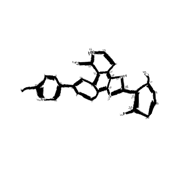 Cc1ccc(-c2ccc3c(c2)c2c(=O)[nH]ccc2c2[nH]c(-c4c(F)cccc4Cl)nc32)cn1